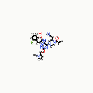 C=CC(=O)N1CCN(c2nc(OCC3CCCN3C)nn3c(Cc4c(O)cccc4F)cnc23)CC1CC#N